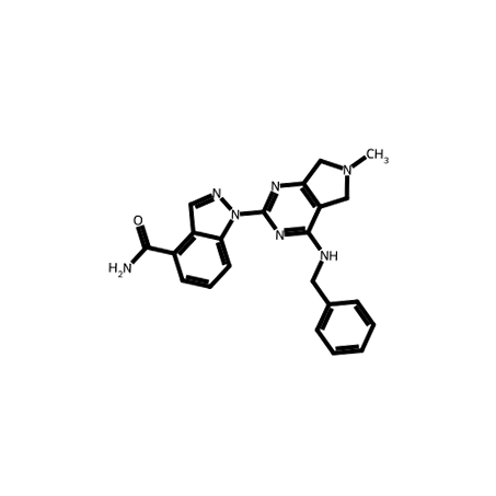 CN1Cc2nc(-n3ncc4c(C(N)=O)cccc43)nc(NCc3ccccc3)c2C1